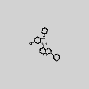 Clc1ccc(Oc2ccccc2)c(Nc2ccnc3nc(-c4ccccc4)ccc23)c1